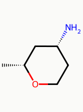 C[C@@H]1C[C@H](N)CCO1